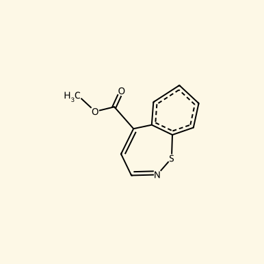 COC(=O)C1=CC=NSc2ccccc21